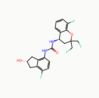 O=C(Nc1ccc(F)c2c1C[C@@H](O)C2)N[C@@H]1CC(CF)(CF)Oc2c(F)cccc21